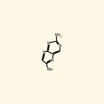 CC(C)(C)c1cnc2nc(N)ncc2n1